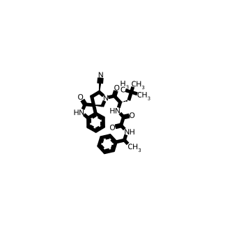 CC(NC(=O)C(=O)N[C@@H](CC(C)(C)C)C(=O)N1C[C@]2(C[C@H]1C#N)C(=O)Nc1ccccc12)c1ccccc1